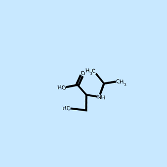 CC(C)NC(CO)C(=O)O